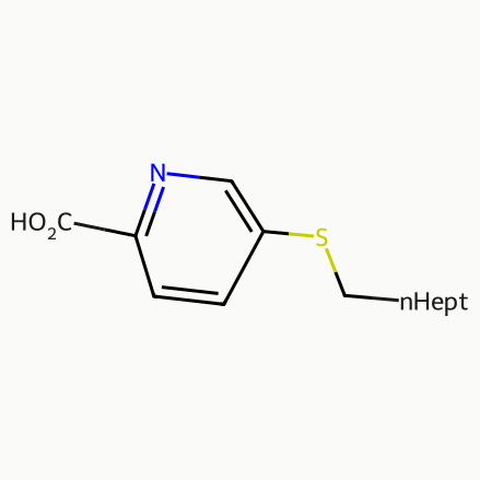 CCCCCCCCSc1ccc(C(=O)O)nc1